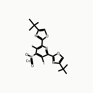 CC(C)(C)c1coc(-c2nc(-c3nc(C(C)(C)C)co3)c(I)c([N+](=O)[O-])c2I)n1.[Co]